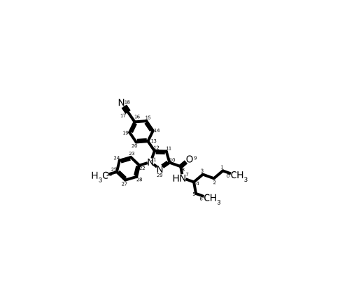 CCCCC(CC)NC(=O)c1cc(-c2ccc(C#N)cc2)n(-c2ccc(C)cc2)n1